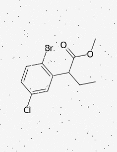 CCC(C(=O)OC)c1cc(Cl)ccc1Br